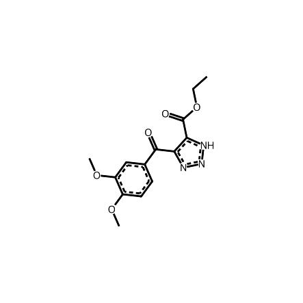 CCOC(=O)c1[nH]nnc1C(=O)c1ccc(OC)c(OC)c1